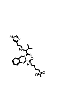 CC(C)C(NCCc1c[nH]cn1)C(=O)N1Cc2ccccc2C[C@H]1C(=O)NCCCS(C)(=O)=O